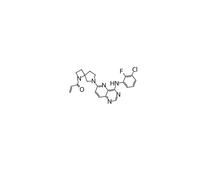 C=CC(=O)N1CCC12CCN(c1ccc3ncnc(Nc4cccc(Cl)c4F)c3n1)C2